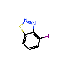 Ic1cccc2snnc12